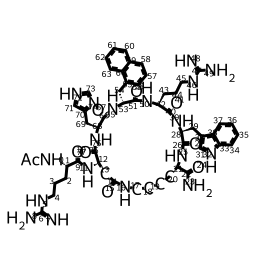 CC(=O)N[C@@H](CCCNC(=N)N)C(=O)N[C@H]1CC(=O)NCCCCC(C(N)=O)NC(=O)[C@H](Cc2c[nH]c3ccccc23)NC(=O)[C@H](CCCNC(=N)N)NC(=O)[C@@H](Cc2cccc3ccccc23)NC(=O)[C@H](Cc2c[nH]cn2)NC1=O